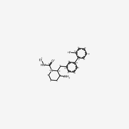 CCNC(=O)N1CCCC(N)C1Cc1cccc(-c2ccccc2F)c1